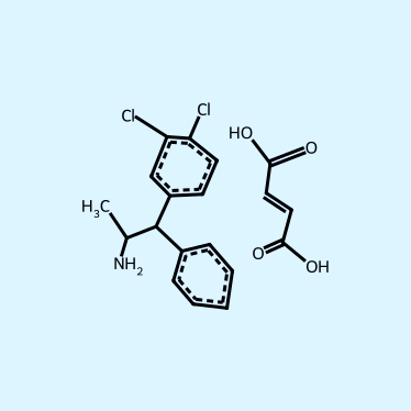 CC(N)C(c1ccccc1)c1ccc(Cl)c(Cl)c1.O=C(O)C=CC(=O)O